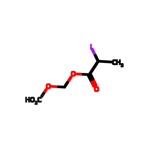 CC(I)C(=O)OCOC(=O)O